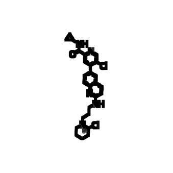 O=C(NC1CC1)c1cc(-c2ccc3nc(NCCCN4CCCC[C@@H]4Cl)ccc3c2)c(Cl)cn1